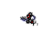 Bc1c2cc(C(C)C)cc1N1C/C=C\C=C/CC(C3=CCCC=C3)(C3=CC=CCC3)c3cccc(c31)-c1c(\C=C/C=C\C(N)=C\C)cccc1-2